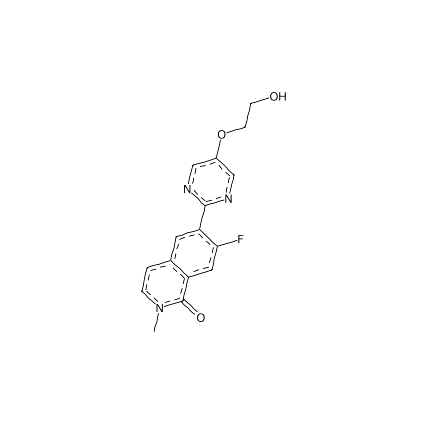 Cn1ccc2cc(-c3ncc(OCCO)cn3)c(F)cc2c1=O